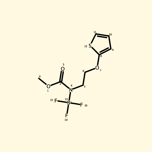 COC(=O)N(CCOc1cccs1)[B-](F)(F)F